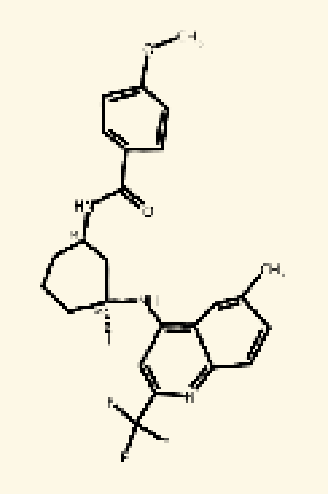 COc1ccc(C(=O)N[C@@H]2CCC[C@](I)(Nc3cc(C(F)(F)F)nc4ccc(C)cc34)C2)cc1